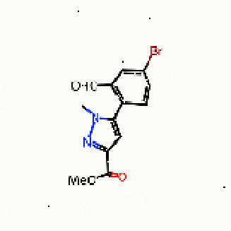 COC(=O)c1cc(-c2ccc(Br)cc2C=O)n(C)n1